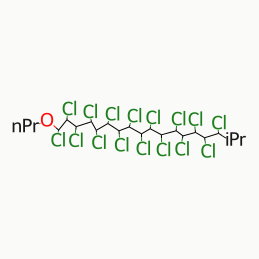 CCCOC(Cl)C(Cl)C(Cl)C(Cl)C(Cl)C(Cl)C(Cl)C(Cl)C(Cl)C(Cl)C(Cl)C(Cl)C(Cl)C(Cl)C(Cl)C(Cl)C(C)C